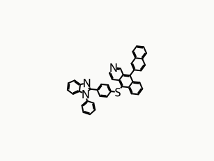 c1ccc(-n2c(-c3ccc(Sc4c5ccccc5c(-c5ccc6ccccc6c5)c5cnccc45)cc3)nc3ccccc32)cc1